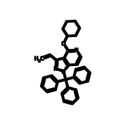 C=Cc1nn(C(c2ccccc2)(c2ccccc2)c2ccccc2)c2ccnc(OC3CCCCC3)c12